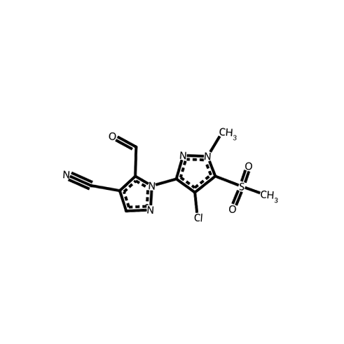 Cn1nc(-n2ncc(C#N)c2C=O)c(Cl)c1S(C)(=O)=O